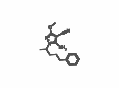 COc1nn(C(C)CCCc2ccccc2)c(N)c1C#N